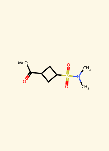 COC(=O)C1CC(S(=O)(=O)N(C)C)C1